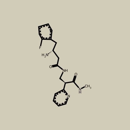 CNC(=O)[C@H](CNC(=O)C[C@H](N)Cc1ccccc1F)c1ccccn1